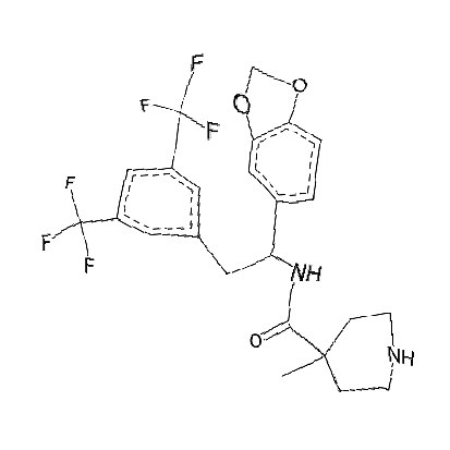 CC1(C(=O)NC(Cc2cc(C(F)(F)F)cc(C(F)(F)F)c2)c2ccc3c(c2)OCO3)CCNCC1